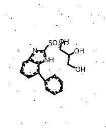 O=S(=O)(O)c1nc2cccc(-c3ccccc3)c2[nH]1.OCC(O)CO